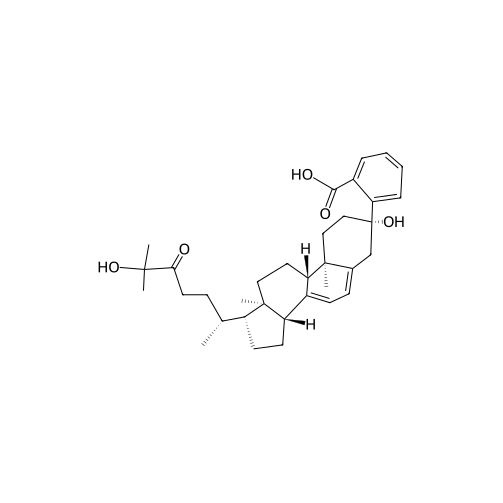 C[C@H](CCC(=O)C(C)(C)O)[C@H]1CC[C@H]2C3=CC=C4C[C@](O)(c5ccccc5C(=O)O)CC[C@]4(C)[C@H]3CC[C@]12C